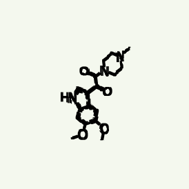 COc1cc2[nH]cc(C(=O)C(=O)N3CCN(C)CC3)c2cc1OC